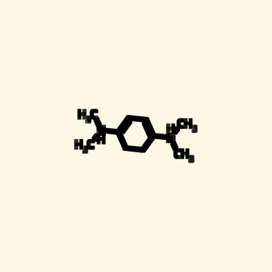 C[SiH](C)C1=CC=C([SiH](C)C)CC1